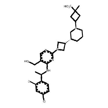 CC(Nc1nc(N2CC([C@H]3CCCN(C4CC(C)(C(=O)O)C4)C3)C2)ncc1CO)c1ccc(Cl)cc1Cl